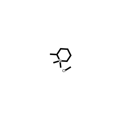 CC1CCCC[Si]1(C)C.CCl